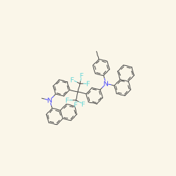 Cc1ccc(N(c2cccc(C(c3cccc(N(C)c4cccc5ccccc45)c3)(C(F)(F)F)C(F)(F)F)c2)c2cccc3ccccc23)cc1